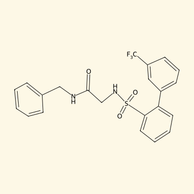 O=C(CNS(=O)(=O)c1ccccc1-c1cccc(C(F)(F)F)c1)NCc1ccccc1